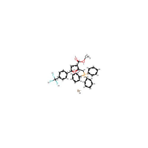 COC(=O)c1cc(-c2ccc(C(F)(F)F)cc2)oc1C[P+](c1ccccc1)(c1ccccc1)c1ccccc1.[Br-]